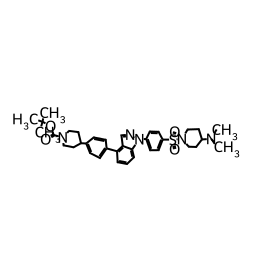 CN(C)C1CCN(S(=O)(=O)c2ccc(-n3ncc4c(-c5ccc(C6CCN(C(=O)OC(C)(C)C)CC6)cc5)cccc43)cc2)CC1